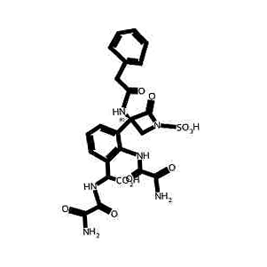 NC(=O)C(=O)Nc1c(C(NC(=O)C(N)=O)C(=O)O)cccc1[C@@]1(NC(=O)Cc2ccccc2)CN(S(=O)(=O)O)C1=O